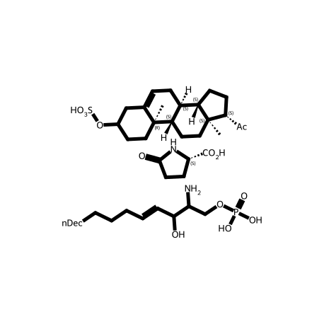 CC(=O)[C@H]1CC[C@H]2[C@@H]3CC=C4CC(OS(=O)(=O)O)CC[C@]4(C)[C@H]3CC[C@]12C.CCCCCCCCCCCCCC=CC(O)C(N)COP(=O)(O)O.O=C1CC[C@@H](C(=O)O)N1